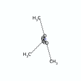 CCCCCCCCCCCCCCCOC(=O)/C=C(/CC(=O)OCCCCCCCCCCCCCCC)C(=O)OCCCCCCCCCCCCCCC